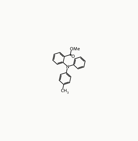 COC(=O)c1ccccc1N(c1ccccc1)c1ccc(C)cc1